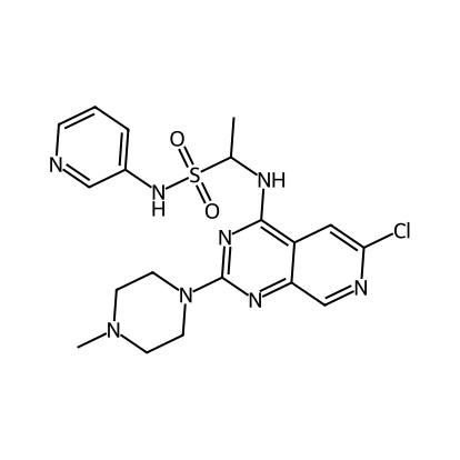 CC(Nc1nc(N2CCN(C)CC2)nc2cnc(Cl)cc12)S(=O)(=O)Nc1cccnc1